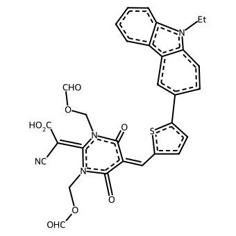 CCn1c2ccccc2c2cc(-c3ccc(C=c4c(=O)n(COC=O)c(=C(C#N)C(=O)O)n(COC=O)c4=O)s3)ccc21